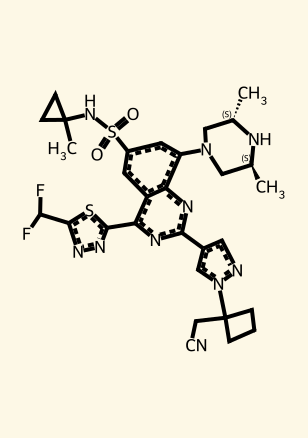 C[C@H]1CN(c2cc(S(=O)(=O)NC3(C)CC3)cc3c(-c4nnc(C(F)F)s4)nc(-c4cnn(C5(CC#N)CCC5)c4)nc23)C[C@H](C)N1